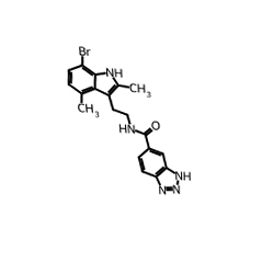 Cc1[nH]c2c(Br)ccc(C)c2c1CCNC(=O)c1ccc2nn[nH]c2c1